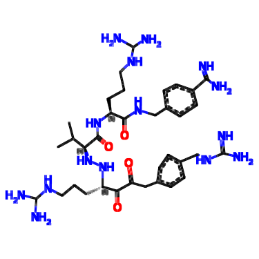 CC(C)[C@H](NN[C@@H](CCCNC(N)N)C(=O)C(=O)Cc1ccc(CNC(=N)N)cc1)C(=O)N[C@@H](CCCNC(N)N)C(=O)NCc1ccc(C(=N)N)cc1